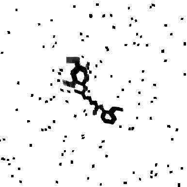 CCc1ccccc1OC(=O)/C=C/CCC(C)O[C@@H]1O[C@@H](C)[C@H](O)C[C@H]1O